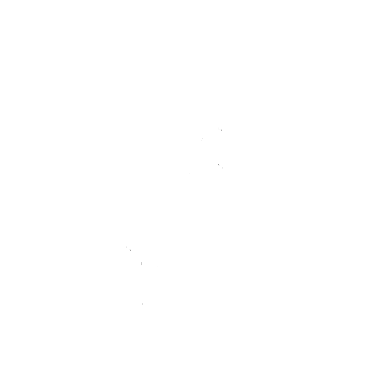 CC(C)(C)OC(=O)N1CCCCC1CCOc1cc2c(=O)[nH]c(-c3cccc(Cl)c3)cn2c1